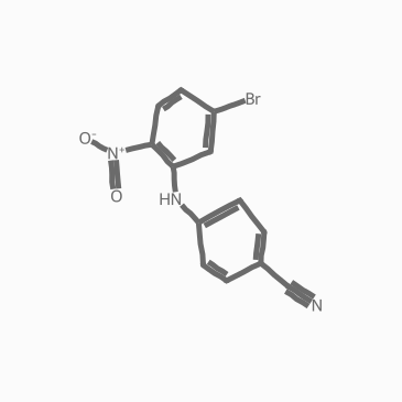 N#Cc1ccc(Nc2cc(Br)ccc2[N+](=O)[O-])cc1